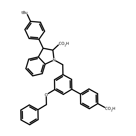 CC(C)(C)c1ccc(C2c3ccccc3N(Cc3cc(OCc4ccccc4)cc(-c4ccc(C(=O)O)cc4)c3)C2C(=O)O)cc1